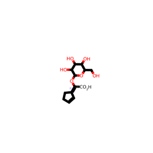 O=C(O)/C(OC1OC(CO)C(O)C(O)C1O)=C1\C=CCC1